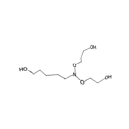 OCCCCCN(OCCO)OCCO